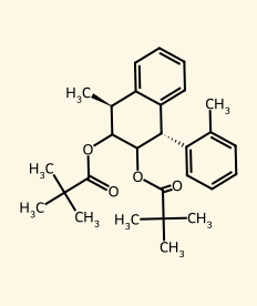 Cc1ccccc1[C@H]1c2ccccc2[C@H](C)C(OC(=O)C(C)(C)C)C1OC(=O)C(C)(C)C